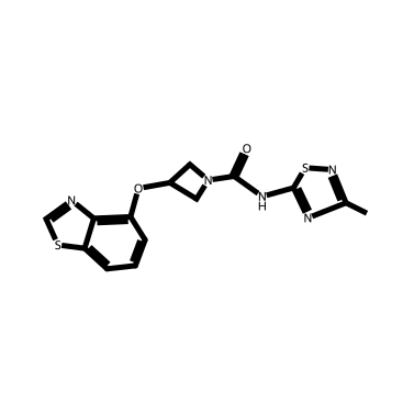 Cc1nsc(NC(=O)N2CC(Oc3cccc4scnc34)C2)n1